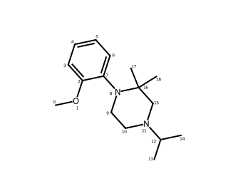 COc1ccccc1N1CCN(C(C)C)CC1(C)C